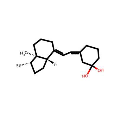 CC[C@H]1CC[C@H]2/C(=C/C=C3/CCCC(O)(O)C3)CCC[C@]12C